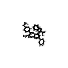 C[C@H](Nc1nc(N2CCOCC2)cc(-n2c(C(F)F)nc3ccccc32)n1)C(=O)N1CCC(CN)CC1